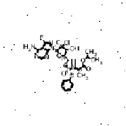 CC(C)OC(=O)[C@H](C)NP(=O)(OC[C@H]1O[C@@H](n2cc(F)c3c(N)ncnc32)[C@](C)(Cl)[C@@H]1O)Oc1ccccc1